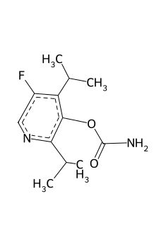 CC(C)c1ncc(F)c(C(C)C)c1OC(N)=O